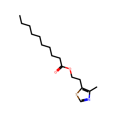 CCCCCCCCCC(=O)OCCc1scnc1C